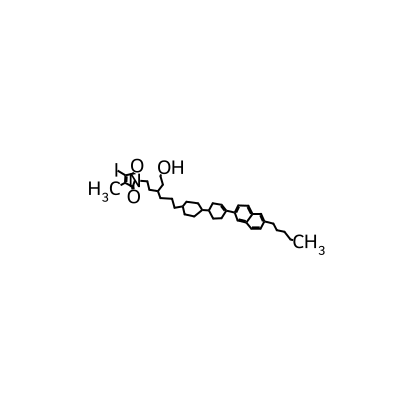 CCCCCc1ccc2cc(C3=CCC(C4CCC(CCCC(CCO)CCN5C(=O)C(C)=C(I)C5=O)CC4)CC3)ccc2c1